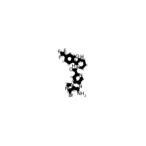 Nc1nc2cnc(C(=O)N3CCC[C@@H]4Oc5cc(C(F)(F)F)ccc5[C@@H]43)cc2n2cnc(Br)c12